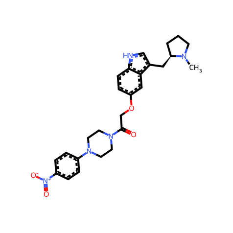 CN1CCC[C@@H]1Cc1c[nH]c2ccc(OCC(=O)N3CCN(c4ccc([N+](=O)[O-])cc4)CC3)cc12